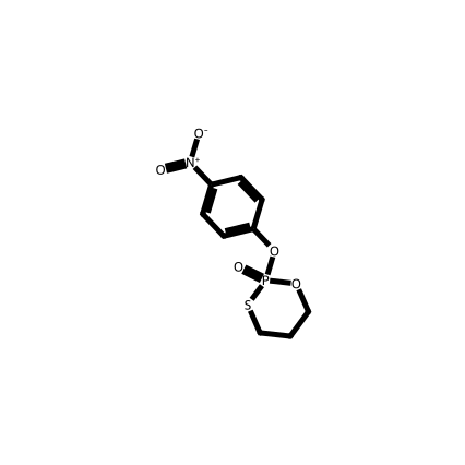 O=[N+]([O-])c1ccc(OP2(=O)OCCCS2)cc1